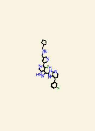 Fc1cccc(-c2ccnc3[nH]c(-c4n[nH]c5cnc(-c6cncc(CNCC7CCCC7)c6)c(F)c45)nc23)c1